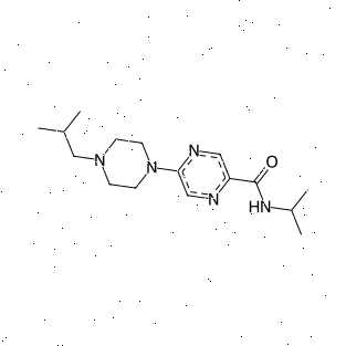 CC(C)CN1CCN(c2cnc(C(=O)NC(C)C)cn2)CC1